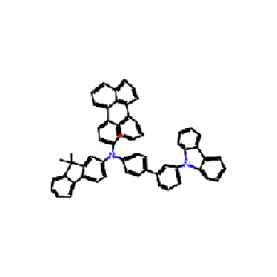 CC1(C)c2ccccc2-c2ccc(N(c3ccc(-c4cccc(-n5c6ccccc6c6ccccc65)c4)cc3)c3ccc(-c4cccc5cccc(-c6ccccc6)c45)cc3)cc21